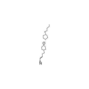 CCCCC[C@H]1CC[C@H](COC2CCC(CCC=CC#N)CC2)CC1